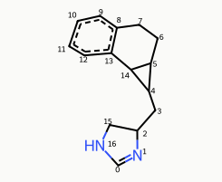 C1=NC(CC2C3CCc4ccccc4C32)CN1